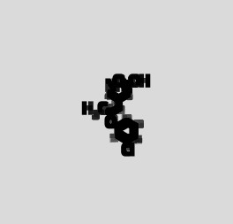 CC(CC(CN)CC(=O)O)Oc1cccc(Cl)c1